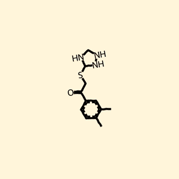 Cc1ccc(C(=O)CSC2NCNN2)cc1C